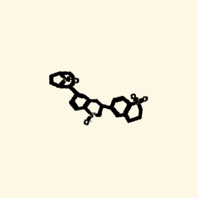 O=S1(=O)CCCc2cc(C3Cc4cc(C5OCC6CCC5N6)ccc4[S+]([O-])C3)ccc21